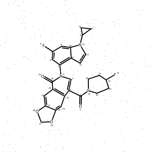 O=C(c1cn(-c2cc(F)cc3c2ccn3C2CC2)c(=O)c2cc3c(cc12)OCO3)N1CCC(F)CC1